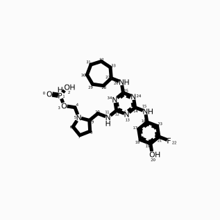 O=[PH](O)OCN1CCCC1CNc1nc(Nc2ccc(O)c(F)c2)nc(NC2CCCCCC2)n1